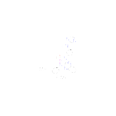 COc1cc(Nc2nc3ccccc3nc2N(c2cccc(Nc3cnccn3)c2)[SH](=O)=O)cc(OC)c1